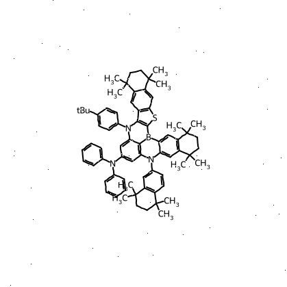 CC(C)(C)c1ccc(N2c3cc(N(c4ccccc4)c4ccccc4)cc4c3B(c3cc5c(cc3N4c3ccc4c(c3)C(C)(C)CCC4(C)C)C(C)(C)CCC5(C)C)c3sc4cc5c(cc4c32)C(C)(C)CCC5(C)C)cc1